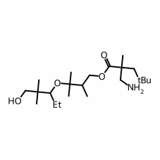 CCC(OC(C)(C)C(C)COC(=O)C(C)(CN)CC(C)(C)C)C(C)(C)CO